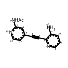 CC(=O)Nc1cc(C#Cc2ncccc2N)ccn1